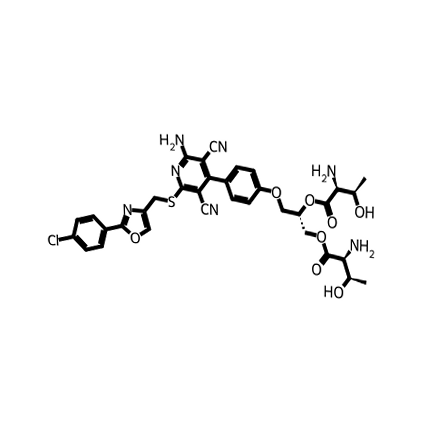 C[C@@H](O)[C@H](N)C(=O)OC[C@H](COc1ccc(-c2c(C#N)c(N)nc(SCc3coc(-c4ccc(Cl)cc4)n3)c2C#N)cc1)OC(=O)[C@@H](N)[C@@H](C)O